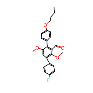 CCCCOc1ccc(-c2c(OC)cc(-c3ccc(F)cc3)c(OC)c2C=O)cc1